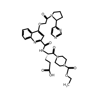 CCOC(=O)N1CCN(C(=O)[C@H](CCC(=O)O)NC(=O)c2cc(OCC(=O)N3CCCC3c3ccncn3)c3ccccc3n2)CC1